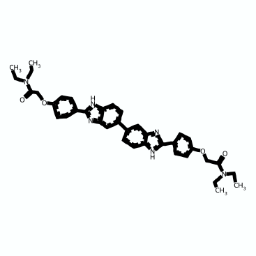 CCN(CC)C(=O)COc1ccc(-c2nc3cc(-c4ccc5[nH]c(-c6ccc(OCC(=O)N(CC)CC)cc6)nc5c4)ccc3[nH]2)cc1